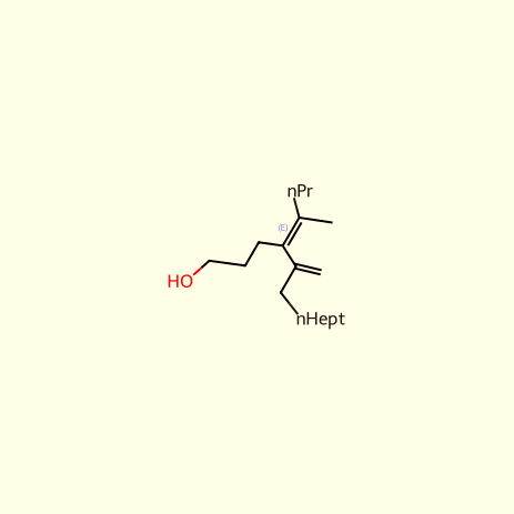 C=C(CCCCCCCC)/C(CCCO)=C(\C)CCC